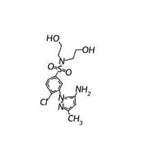 Cc1cc(N)n(-c2cc(S(=O)(=O)N(CCO)CCO)ccc2Cl)n1